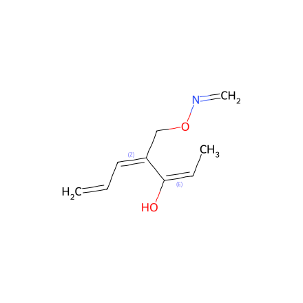 C=C/C=C(CON=C)\C(O)=C/C